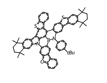 CC(C)(C)c1ccc(N2B3c4cc5c(cc4-n4c6cc7c(cc6c6c8sc9ccccc9c8c(c3c64)-c3cc4sc6cc8c(cc6c4cc32)C(C)(C)CCC8(C)C)C(C)(C)CCC7(C)C)oc2ccccc25)cc1